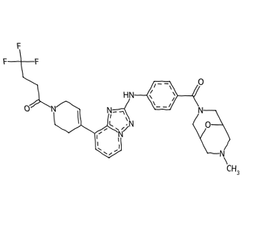 CN1CC2CN(C(=O)c3ccc(Nc4nc5c(C6=CCN(C(=O)CCC(F)(F)F)CC6)cccn5n4)cc3)CC(C1)O2